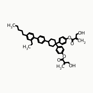 C=C(CO)C(=O)Oc1ccc(C2(c3ccc(OC(=O)C(=C)CO)cc3)CCC(c3ccc(-c4ccc(CCCCC)cc4CC)cc3)CC2)cc1